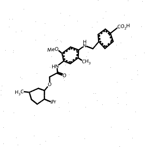 COc1cc(NCc2ccc(C(=O)O)cc2)c(C)cc1NC(=O)COC1CC(C)CCC1C(C)C